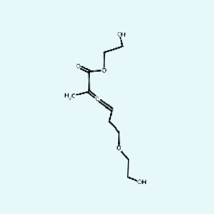 CC(=C=CCCOCCO)C(=O)OCCO